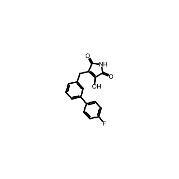 O=C1NC(=O)C(Cc2cccc(-c3ccc(F)cc3)c2)=C1O